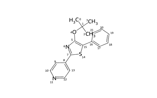 CC(C)(C)Oc1nc(-c2ccncc2)sc1-c1ccccc1